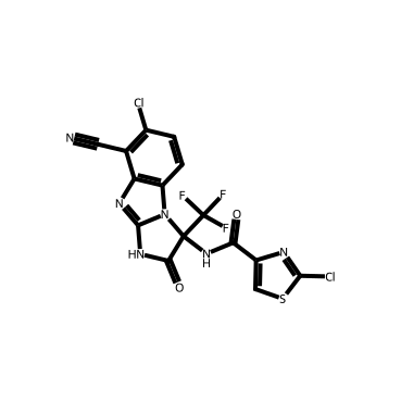 N#Cc1c(Cl)ccc2c1nc1n2C(NC(=O)c2csc(Cl)n2)(C(F)(F)F)C(=O)N1